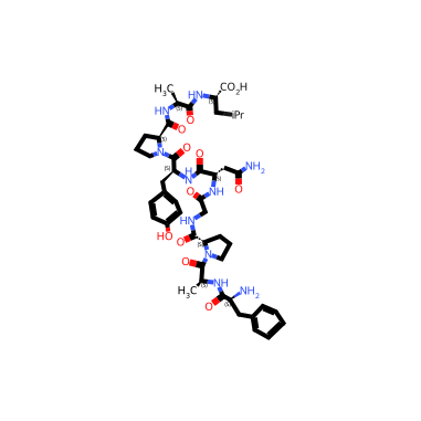 CC(C)C[C@H](NC(=O)[C@H](C)NC(=O)[C@@H]1CCCN1C(=O)[C@H](Cc1ccc(O)cc1)NC(=O)[C@H](CC(N)=O)NC(=O)CNC(=O)[C@@H]1CCCN1C(=O)[C@H](C)NC(=O)[C@@H](N)Cc1ccccc1)C(=O)O